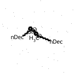 CCCCCCCCCCCCCCCCCCOC(C)c1ccc(C(=O)Oc2ccccc2OCCCCCCCCCCCCCCC)cc1